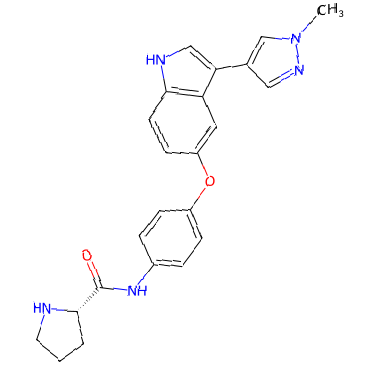 Cn1cc(-c2c[nH]c3ccc(Oc4ccc(NC(=O)[C@@H]5CCCN5)cc4)cc23)cn1